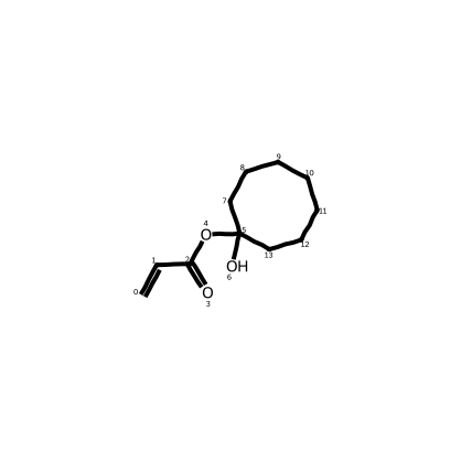 C=CC(=O)OC1(O)CCCCCCC1